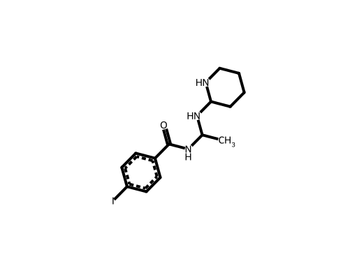 CC(NC(=O)c1ccc(I)cc1)NC1CCCCN1